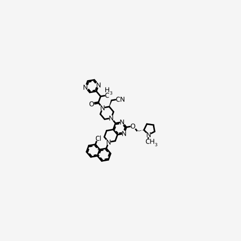 CC(C(=O)N1CCN(c2nc(OC[C@@H]3CCCN3C)nc3c2CCN(c2cccc4cccc(Cl)c24)C3)C[C@@H]1CC#N)c1cnccn1